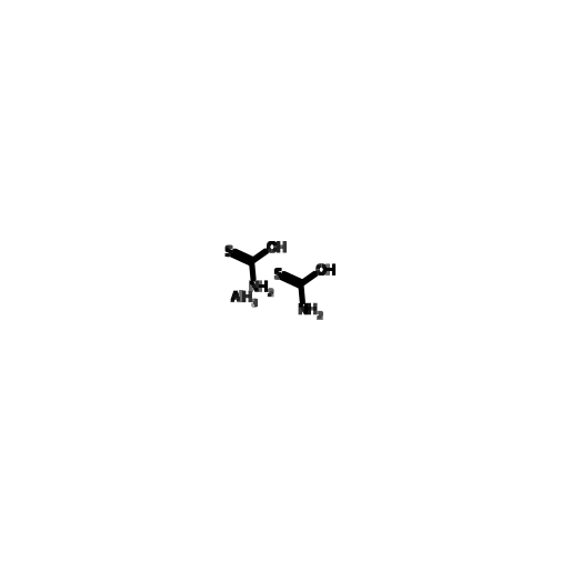 NC(O)=S.NC(O)=S.[AlH3]